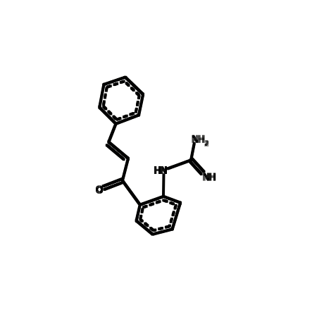 N=C(N)Nc1ccccc1C(=O)/C=C/c1ccccc1